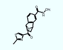 Cc1nc(C(=O)N2C3CCC2c2cc(C(=O)NO)ccc23)cs1